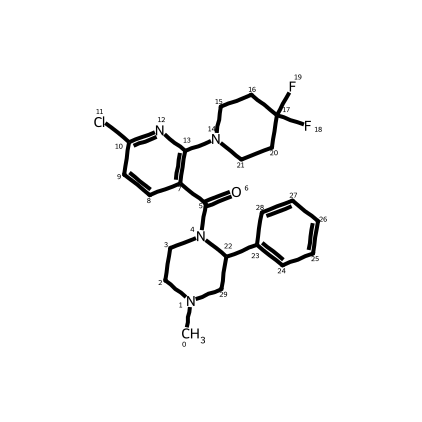 CN1CCN(C(=O)c2ccc(Cl)nc2N2CCC(F)(F)CC2)C(c2ccccc2)C1